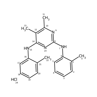 Cc1ccccc1Nc1nc(C)c(C)c(Nc2ccccc2C)n1.Cl